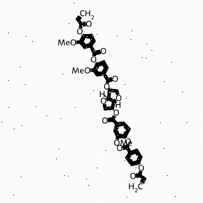 C=CC(=O)Oc1ccc(C(=O)Oc2ccc(C(=O)O[C@@H]3CO[C@@H]4[C@H]3OC[C@@H]4OC(=O)c3ccc(OC(=O)c4ccc(OC(=O)C=C)c(OC)c4)c(OC)c3)cc2OC)cc1